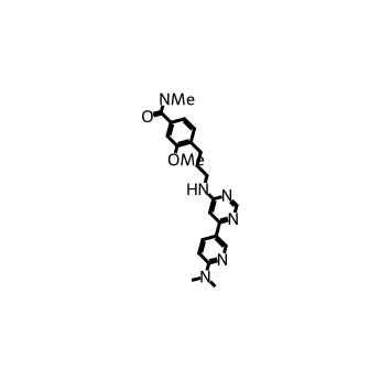 CNC(=O)c1ccc(CCCNc2cc(-c3ccc(N(C)C)nc3)ncn2)c(OC)c1